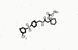 CC(C)(C)OC(=O)NC1(CC(=O)NCc2ccc(S(=O)(=O)c3cccc(C(F)(F)F)c3)cc2)CCCCC1